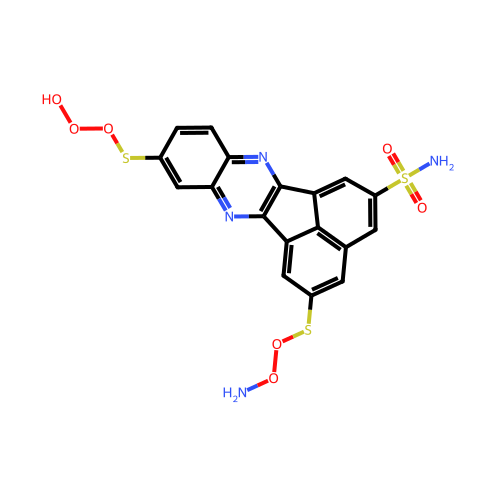 NOOSc1cc2c3c(cc(S(N)(=O)=O)cc3c1)-c1nc3ccc(SOOO)cc3nc1-2